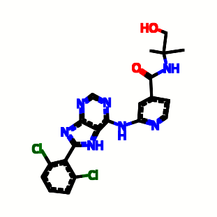 CC(C)(CO)NC(=O)c1ccnc(Nc2ncnc3nc(-c4c(Cl)cccc4Cl)[nH]c23)c1